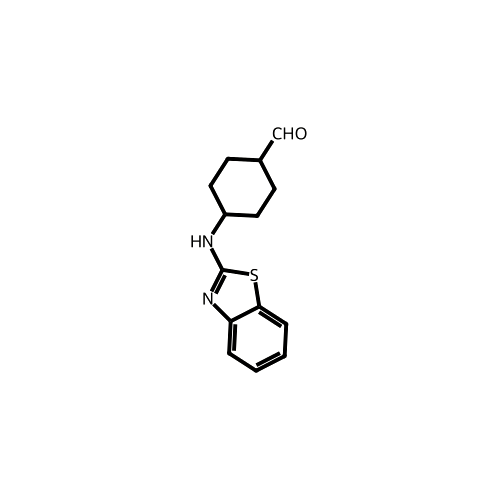 O=CC1CCC(Nc2nc3ccccc3s2)CC1